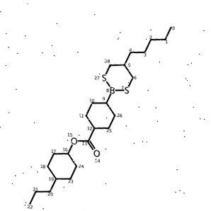 CCCCCC1CSB(C2CCC(C(=O)OC3CCC(CCC)CC3)CC2)SC1